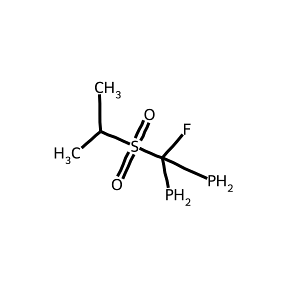 CC(C)S(=O)(=O)C(F)(P)P